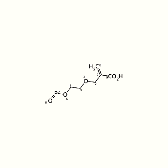 C=C(COCCOP=O)C(=O)O